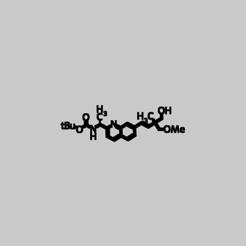 COCC(C)(/C=C/c1ccc2ccc([C@@H](C)NC(=O)OC(C)(C)C)nc2c1)CO